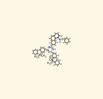 CC1(C)c2ccccc2-c2ccc(C3=CC(c4ccc5c(c4)C(C)(C)c4ccccc4-5)NC(c4ccc5c(ccc6ccc7c(c65)NC(c5ccccc5)S7)c4)=N3)cc21